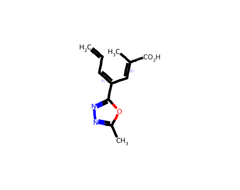 C=C/C=C(\C=C(/C)C(=O)O)c1nnc(C)o1